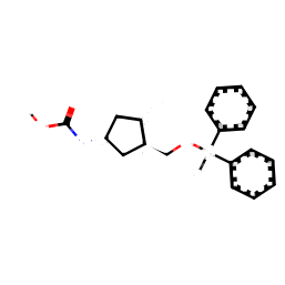 CC(C)(C)OC(=O)N[C@H]1C[C@H](CO[Si](c2ccccc2)(c2ccccc2)C(C)(C)C)[C@@H](O)C1